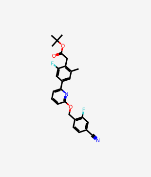 Cc1cc(-c2cccc(OCc3ccc(C#N)cc3F)n2)cc(F)c1CC(=O)OC(C)(C)C